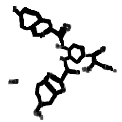 CN1CCc2nc(C(=O)N[C@@H]3C[C@@H](C(=O)N(C)C)CC[C@@H]3NC(=O)c3cc4ccc(F)cc4cn3)sc2C1.Cl